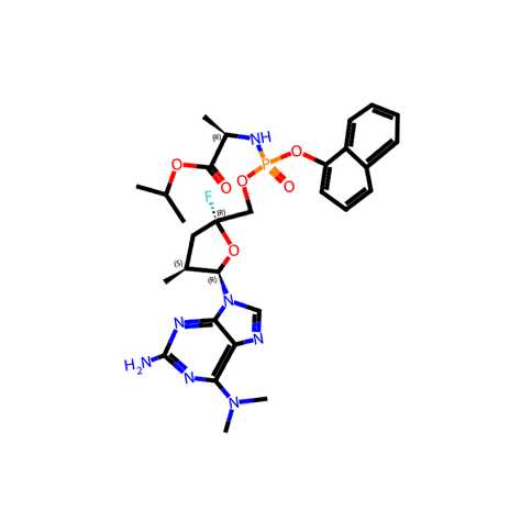 CC(C)OC(=O)[C@@H](C)NP(=O)(OC[C@]1(F)C[C@H](C)[C@H](n2cnc3c(N(C)C)nc(N)nc32)O1)Oc1cccc2ccccc12